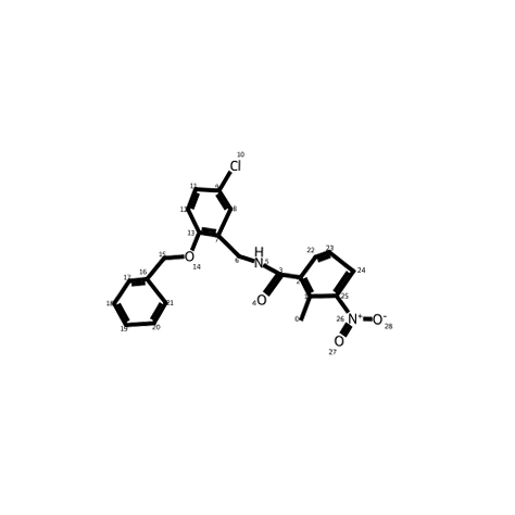 Cc1c(C(=O)NCc2cc(Cl)ccc2OCc2ccccc2)cccc1[N+](=O)[O-]